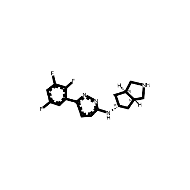 Fc1cc(F)c(F)c(-c2ccc(N[C@@H]3C[C@H]4CNC[C@H]4C3)nn2)c1